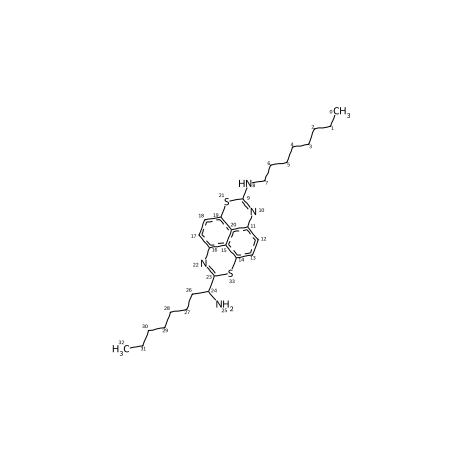 CCCCCCCCNC1=Nc2ccc3c4c(ccc(c24)S1)N=C(C(N)CCCCCCC)S3